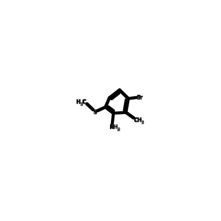 CSc1ccc(Br)c(C)c1N